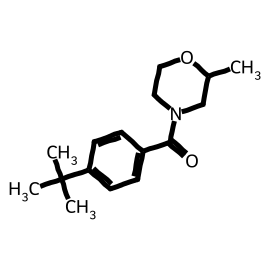 CC1CN(C(=O)c2ccc(C(C)(C)C)cc2)CCO1